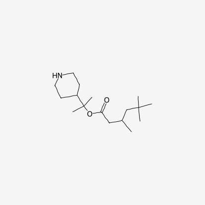 CC(CC(=O)OC(C)(C)C1CCNCC1)CC(C)(C)C